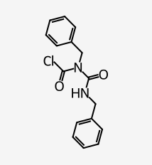 O=C(Cl)N(Cc1ccccc1)C(=O)NCc1ccccc1